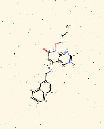 CCCCOn1c(=O)cc(NCc2ccc3ccccc3c2)c2cncnc21